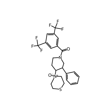 O=C(c1cc(C(F)(F)F)cc(C(F)(F)F)c1)N1CCC([N+]2([O-])CCSCC2)C(c2ccccc2)C1